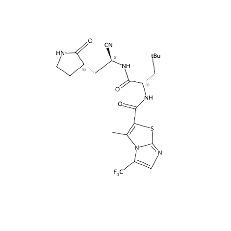 Cc1c(C(=O)N[C@@H](CC(C)(C)C)C(=O)N[C@H](C#N)C[C@@H]2CCNC2=O)sc2ncc(C(F)(F)F)n12